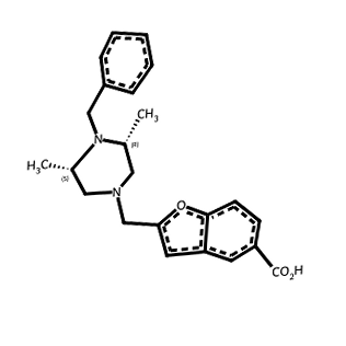 C[C@@H]1CN(Cc2cc3cc(C(=O)O)ccc3o2)C[C@H](C)N1Cc1ccccc1